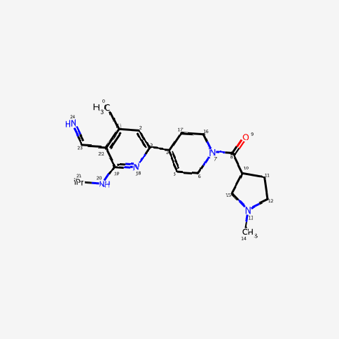 Cc1cc(C2=CCN(C(=O)C3CCN(C)C3)CC2)nc(NC(C)C)c1C=N